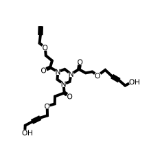 C#CCOCCC(=O)N1CN(C(=O)CCOCC#CCO)CN(C(=O)CCOCC#CCO)C1